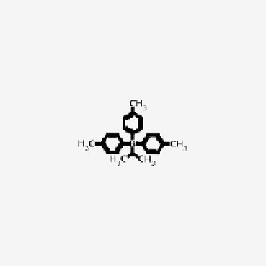 Cc1ccc([B-](c2ccc(C)cc2)(c2ccc(C)cc2)C(C)C)cc1